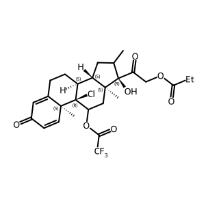 CCC(=O)OCC(=O)[C@@]1(O)C(C)C[C@H]2[C@@H]3CCC4=CC(=O)C=C[C@]4(C)[C@@]3(Cl)C(OC(=O)C(F)(F)F)C[C@@]21C